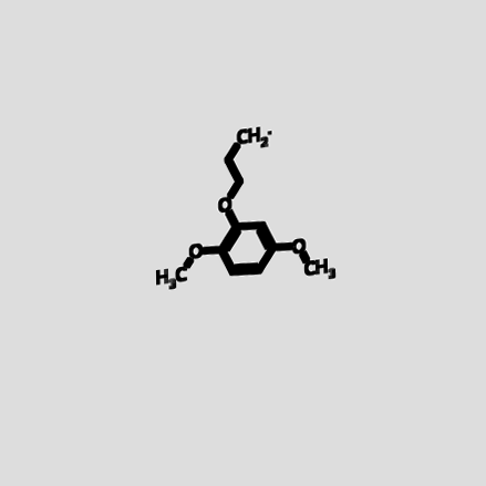 [CH2]CCOc1cc(OC)ccc1OC